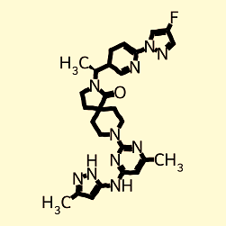 Cc1cc(Nc2cc(C)nc(N3CCC4(CC3)CCN([C@@H](C)C3C=NC(n5cc(F)cn5)=CC3)C4=O)n2)[nH]n1